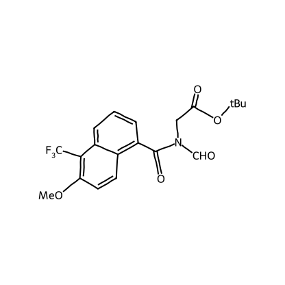 COc1ccc2c(C(=O)N(C=O)CC(=O)OC(C)(C)C)cccc2c1C(F)(F)F